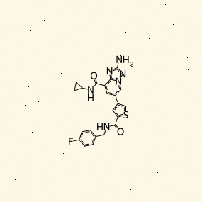 Nc1nc2c(C(=O)NC3CC3)cc(-c3csc(C(=O)NCc4ccc(F)cc4)c3)cn2n1